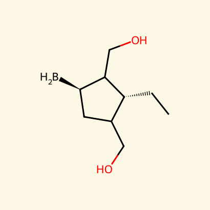 B[C@@H]1CC(CO)[C@@H](CC)C1CO